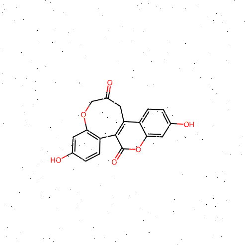 O=C1COc2cc(O)ccc2-c2c(c3ccc(O)cc3oc2=O)C1